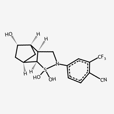 N#Cc1ccc(N2C[C@@H]3[C@H]4C[C@H](C[C@@H]4O)[C@@H]3S2(O)O)cc1C(F)(F)F